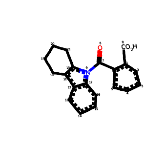 O=C(O)c1ccccc1C(=O)n1c2c(c3ccccc31)CCCC2